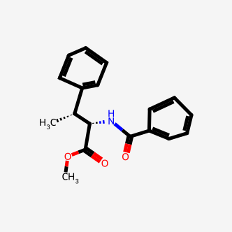 COC(=O)[C@@H](NC(=O)c1ccccc1)[C@H](C)c1ccccc1